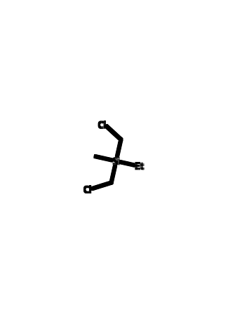 CC[Si](C)(CCl)CCl